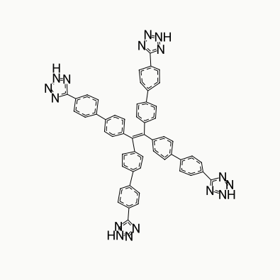 c1cc(-c2ccc(-c3nn[nH]n3)cc2)ccc1C(=C(c1ccc(-c2ccc(-c3nn[nH]n3)cc2)cc1)c1ccc(-c2ccc(-c3nn[nH]n3)cc2)cc1)c1ccc(-c2ccc(-c3nn[nH]n3)cc2)cc1